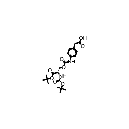 CC(C)(C)OC(=O)N[C@@H](COC(=O)Nc1ccc(CC(=O)O)cc1)C(=O)OC(C)(C)C